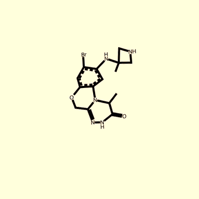 CC1C(=O)NN=C2COc3cc(Br)c(NC4(C)CNC4)cc3N21